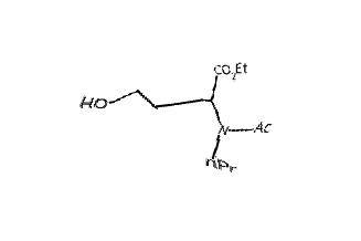 CCCN(C(C)=O)C(CCO)C(=O)OCC